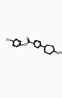 CCCCCC1CCC(c2ccc(C(=O)Oc3ccc(CC)cc3)cc2)CC1